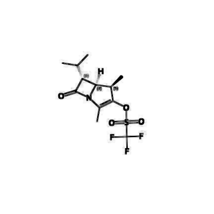 CC1=C(OS(=O)(=O)C(F)(F)F)[C@H](C)[C@@H]2[C@@H](C(C)C)C(=O)N12